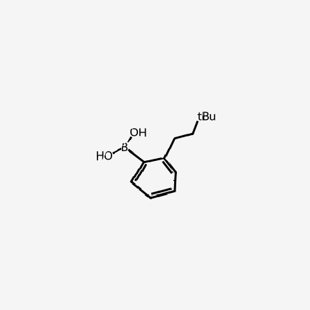 CC(C)(C)CCc1ccccc1B(O)O